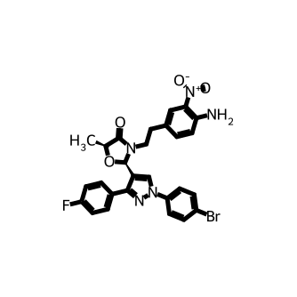 C[C@@H]1O[C@H](c2cn(-c3ccc(Br)cc3)nc2-c2ccc(F)cc2)N(CCc2ccc(N)c([N+](=O)[O-])c2)C1=O